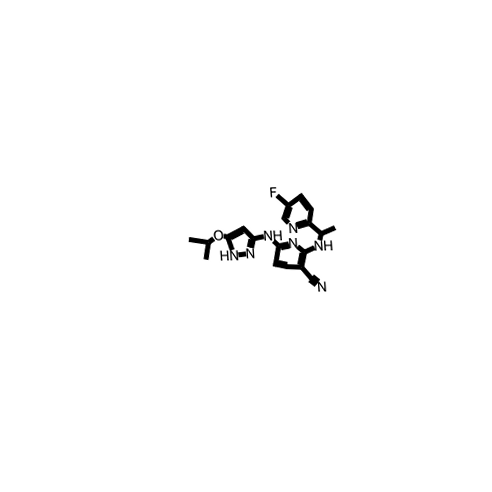 CC(C)Oc1cc(Nc2ccc(C#N)c(NC(C)c3ccc(F)cn3)n2)n[nH]1